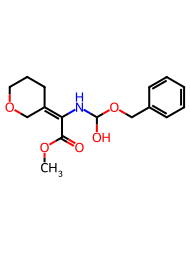 COC(=O)/C(NC(O)OCc1ccccc1)=C1/CCCOC1